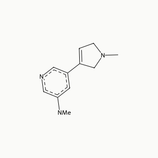 CNc1cncc(C2=CCN(C)C2)c1